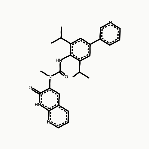 CC(C)c1cc(-c2cccnc2)cc(C(C)C)c1NC(=O)N(C)c1cc2cccnc2[nH]c1=O